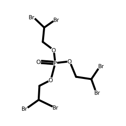 O=P(OCC(Br)Br)(OCC(Br)Br)OCC(Br)Br